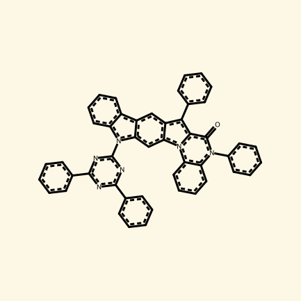 O=c1c2c(-c3ccccc3)c3cc4c5ccccc5n(-c5nc(-c6ccccc6)nc(-c6ccccc6)n5)c4cc3n2c2ccccc2n1-c1ccccc1